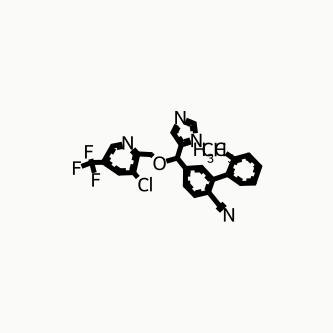 Cc1ccccc1-c1cc(C(OCc2ncc(C(F)(F)F)cc2Cl)c2cncn2C)ccc1C#N